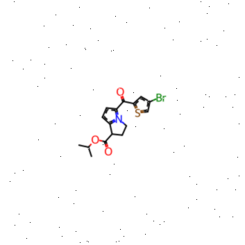 CC(C)OC(=O)C1CCn2c(C(=O)c3cc(Br)cs3)ccc21